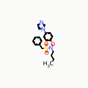 CCCCN(Oc1ccc(-n2ccnc2)cc1)S(=O)(=O)Cc1ccccc1